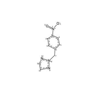 O=[N+]([O-])c1ccc(Cn2nccn2)cc1